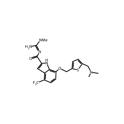 CNC(N)=NC(=O)c1cc2c(C(F)(F)F)ccc(OCc3ccc(CN(C)C)s3)c2[nH]1